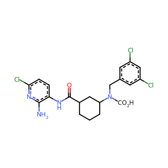 Nc1nc(Cl)ccc1NC(=O)C1CCCC(N(Cc2cc(Cl)cc(Cl)c2)C(=O)O)C1